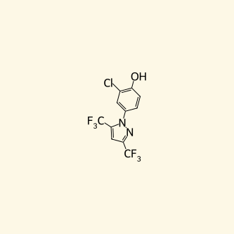 Oc1ccc(-n2nc(C(F)(F)F)cc2C(F)(F)F)cc1Cl